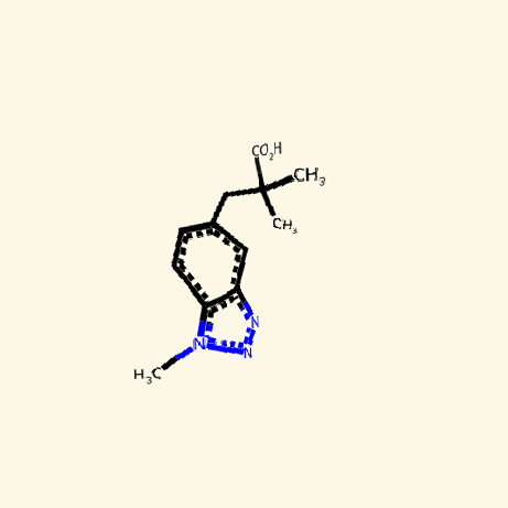 Cn1nnc2cc(CC(C)(C)C(=O)O)ccc21